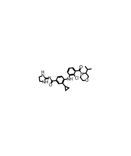 CC(C)C1COCCN1C(=O)c1cccc(Nc2ccc(C(=O)N=C3NCCN3)cc2C2CC2)c1Cl